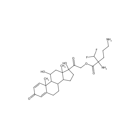 CC12C=CC(=O)C=C1CCC1C2C(O)CC2(C)C1CCC2(O)C(=O)COC(=O)C(N)(CCCN)C(F)F